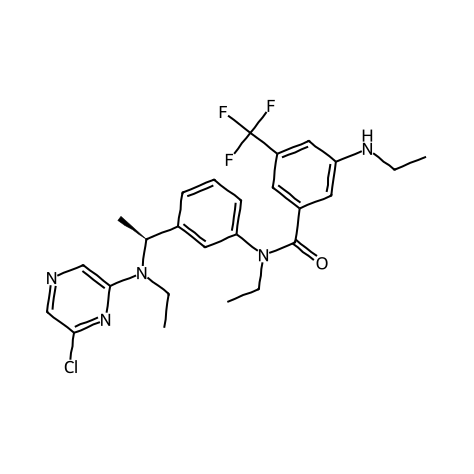 CCNc1cc(C(=O)N(CC)c2cccc([C@H](C)N(CC)c3cncc(Cl)n3)c2)cc(C(F)(F)F)c1